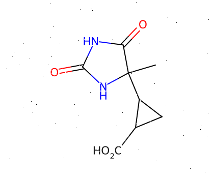 CC1(C2CC2C(=O)O)NC(=O)NC1=O